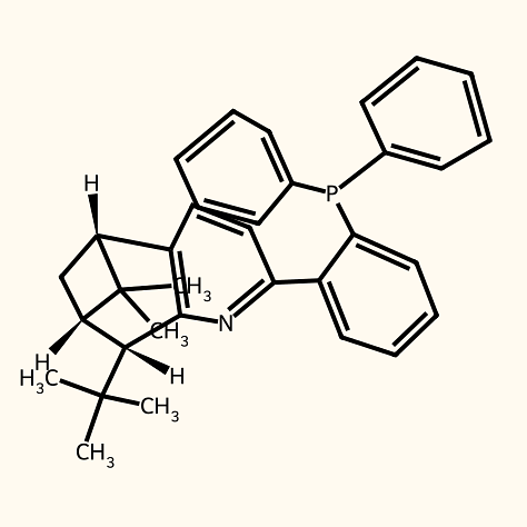 CC(C)(C)[C@H]1c2nc(-c3ccccc3P(c3ccccc3)c3ccccc3)ccc2[C@H]2C[C@@H]1C2(C)C